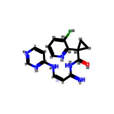 N=C(/C=C\Nc1ccncn1)NC(=O)C1(c2ncccc2F)CC1